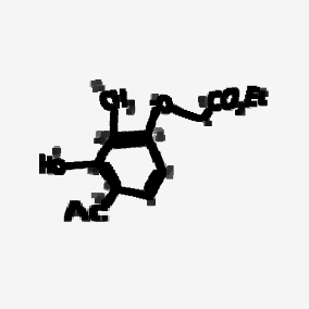 CCOC(=O)COc1ccc(C(C)=O)c(O)c1C